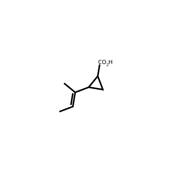 CC=C(C)C1CC1C(=O)O